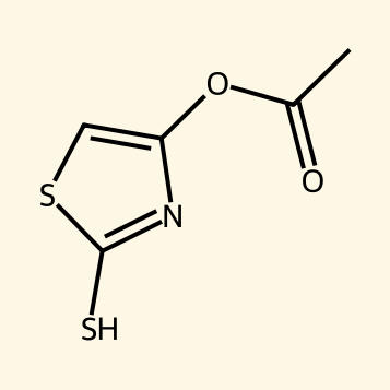 CC(=O)Oc1csc(S)n1